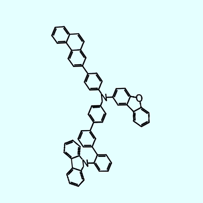 c1cc(-c2ccc(N(c3ccc(-c4ccc5c(ccc6ccccc65)c4)cc3)c3ccc4oc5ccccc5c4c3)cc2)cc(-c2ccccc2-n2c3ccccc3c3ccccc32)c1